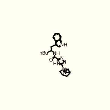 CCCCC(Cc1c[nH]c2ccccc12)NC(=O)c1nnc(N2CC3CC(C2)N3C)[nH]1